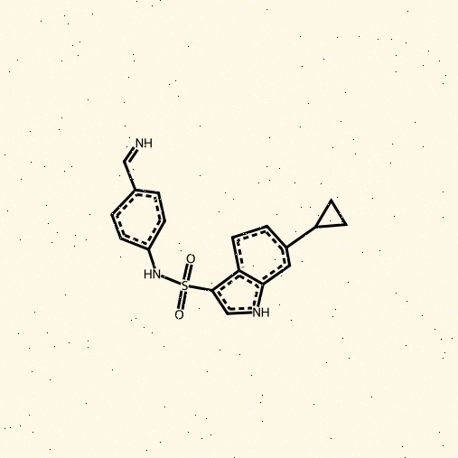 N=Cc1ccc(NS(=O)(=O)c2c[nH]c3cc(C4CC4)ccc23)cc1